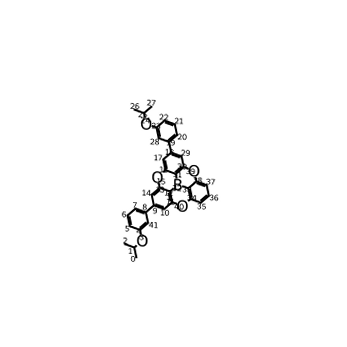 CC(C)Oc1cccc(-c2cc3c4c(c2)Oc2cc(-c5cccc(OC(C)C)c5)cc5c2B4c2c(cccc2O5)O3)c1